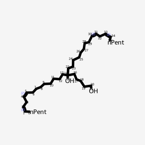 CCCCC/C=C\C/C=C\CCCCCCCCC(O)(CCCCCO)CCCCCCCC/C=C\C/C=C\CCCCC